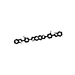 Fc1cc(-c2cc3cc4cc5sc(-c6ccc(-c7cc8ccccc8s7)c(F)c6)cc5cc4cc3s2)ccc1-c1cc2ccccc2s1